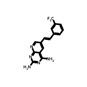 Nc1nc(N)c2cc(C=Cc3cccc(C(F)(F)F)c3)cnc2n1